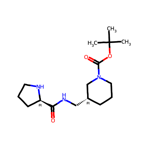 CC(C)(C)OC(=O)N1CCC[C@H](CNC(=O)[C@H]2CCCN2)C1